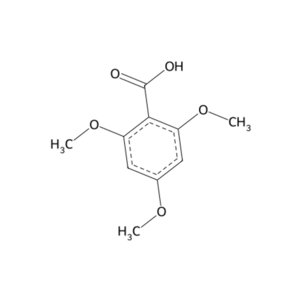 COc1cc(OC)c(C(=O)O)c(OC)c1